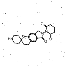 O=C1c2cc3c(cc2CN1N1C(=O)CCCC1=O)OC1(CCNCC1)CC3